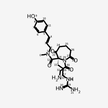 CN(CC=Cc1ccc(O)cc1)C(=O)[C@@]1(CCCNC(=N)N)C(=O)CCCC(=O)N1C(=O)CN